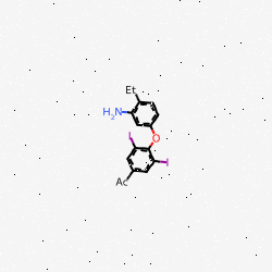 CCc1ccc(Oc2c(I)cc(C(C)=O)cc2I)cc1N